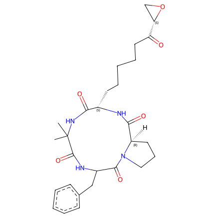 CC1(C)NC(=O)[C@H](CCCCCC(=O)[C@@H]2CO2)NC(=O)[C@H]2CCCN2C(=O)C(Cc2ccccc2)NC1=O